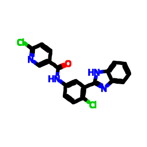 O=C(Nc1ccc(Cl)c(-c2nc3ccccc3[nH]2)c1)c1ccc(Cl)nc1